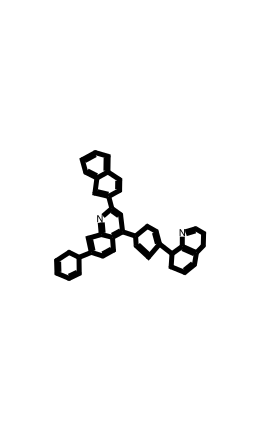 C1=CCC(c2ccc3c(C4C=CC(C5CC=CC6=C5N=CCC6)=CC4)cc(-c4ccc5ccccc5c4)nc3c2)C=C1